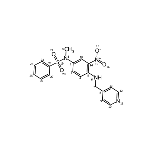 CN(c1ccc(NCc2ccncc2)c([N+](=O)[O-])c1)S(=O)(=O)c1ccccc1